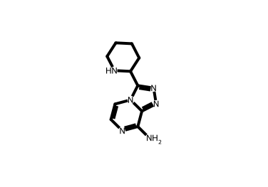 Nc1nccn2c(C3CCCCN3)nnc12